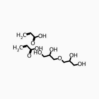 C=CC(=O)O.C=CC(=O)O.OCC(O)COCC(O)CO